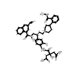 CNC(=O)c1ccccc1C1CCN(CC[C@H](CN(C)C(=O)c2cc(C#N)cc3ccccc23)c2ccc(Cl)c(Cl)c2)CC1.O=C(O)CC(O)(CC(=O)O)C(=O)O